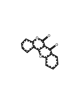 O=c1oc2ccccc2c2oc3ccccc3c(=O)c12